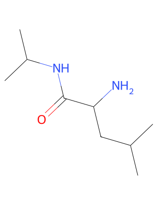 CC(C)CC(N)C(=O)NC(C)C